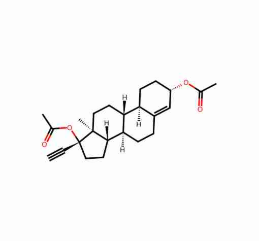 C#C[C@]1(OC(C)=O)CC[C@H]2[C@@H]3CCC4=C[C@@H](OC(C)=O)CC[C@@H]4[C@H]3CC[C@@]21C